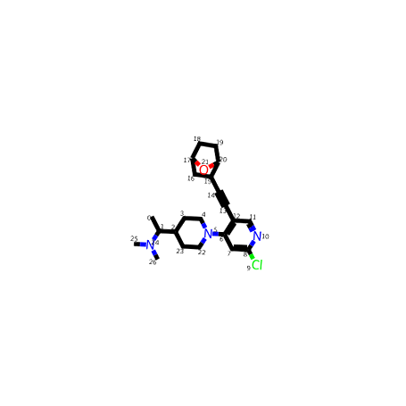 CC(C1CCN(c2cc(Cl)ncc2C#CC2CC3CCC2O3)CC1)N(C)C